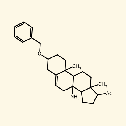 CC(=O)C1CCC2C1(C)CCC1C3(C)CCC(OCc4ccccc4)CC3=CCC12N